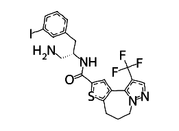 NC[C@H](Cc1cccc(I)c1)NC(=O)c1cc2c(s1)CCCn1ncc(C(F)(F)F)c1-2